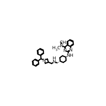 CN(C)c1nc(N[C@H]2CC[C@@H](CNCC3CN(C(c4ccccc4)c4ccccc4)C3)CC2)nc2ccccc12